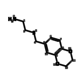 NCCSCc1ccc2c(c1)OCCO2